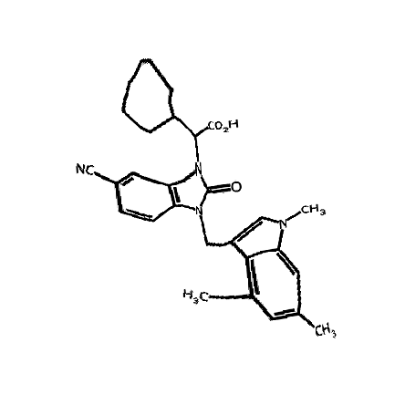 Cc1cc(C)c2c(Cn3c(=O)n(C(C(=O)O)C4CCCCC4)c4cc(C#N)ccc43)cn(C)c2c1